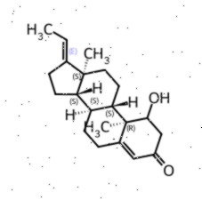 C/C=C1\CC[C@H]2[C@@H]3CCC4=CC(=O)CC(O)[C@]4(C)[C@H]3CC[C@]12C